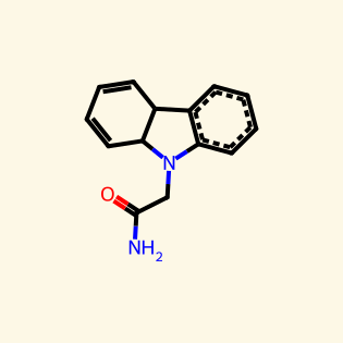 NC(=O)CN1c2ccccc2C2C=CC=CC21